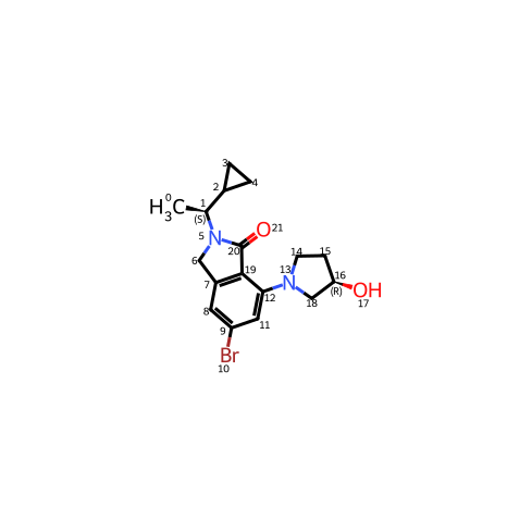 C[C@@H](C1CC1)N1Cc2cc(Br)cc(N3CC[C@@H](O)C3)c2C1=O